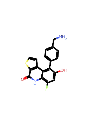 NCc1ccc(-c2c(O)cc(F)c3[nH]c(=O)c4sccc4c23)cc1